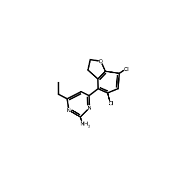 CCc1cc(-c2c(Cl)cc(Cl)c3c2CCO3)nc(N)n1